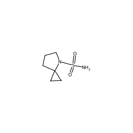 NS(=O)(=O)N1CCCC12CC2